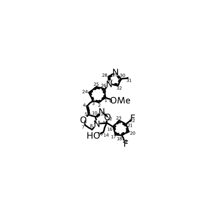 COc1cc(/C=C2/OCCN3C2=NOC3(CO)c2cc(F)cc(F)c2)ccc1-n1cnc(C)c1